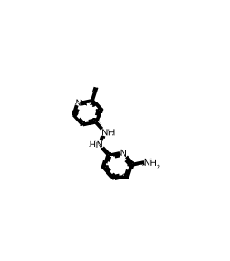 Cc1cc(NNc2cccc(N)n2)ccn1